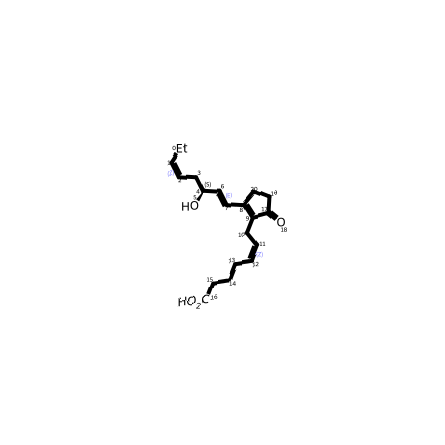 CC/C=C\C[C@H](O)/C=C/C1=C(C/C=C\CCCC(=O)O)C(=O)CC1